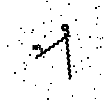 CCCCCCCCCCCCCCCC[C](CCCCCCCCCCCCCC)C(C)(C)Cc1ccccc1.N